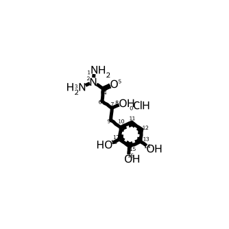 Cl.NN(N)C(=O)CC(O)Cc1ccc(O)c(O)c1O